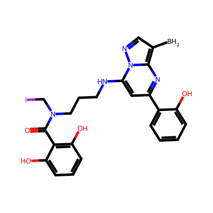 Bc1cnn2c(NCCCN(CI)C(=O)c3c(O)cccc3O)cc(-c3ccccc3O)nc12